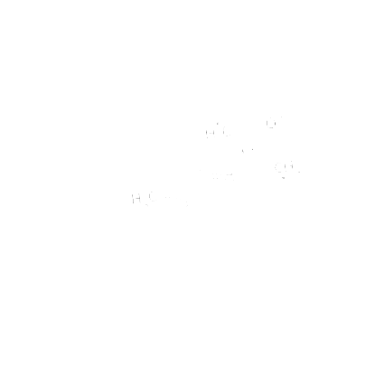 CC/C=C/C(C)(C)[O]